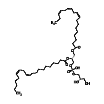 CC/C=C\C/C=C\C/C=C\CCCCCCCC(=O)OC[C@H](COP(=O)(O)OC[C@@H](O)CO)OC(=O)CCCCCCCCC/C=C\C/C=C\CCCCC